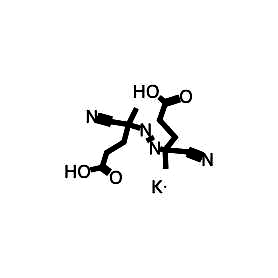 CC(C#N)(CCC(=O)O)N=NC(C)(C#N)CCC(=O)O.[K]